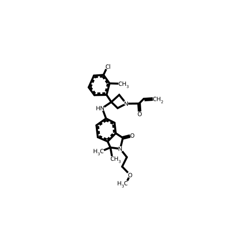 C=CC(=O)N1CC(Nc2ccc3c(c2)C(=O)N(CCOC)C3(C)C)(c2cccc(Cl)c2C)C1